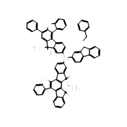 CC1(C)c2cc(N(c3ccc4c(c3)[C@H](CCc3ccccc3)c3ccccc3-4)c3ccc4c(c3)C(C)(C)c3c5c(c6c(oc7ccccc76)c3-4)-c3ccccc3C5(C)C)ccc2-c2c1cc(-c1ccccc1)c1oc3ccccc3c21